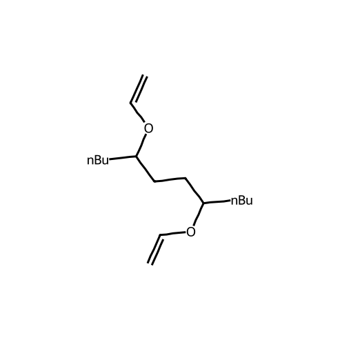 C=COC(CCCC)CCC(CCCC)OC=C